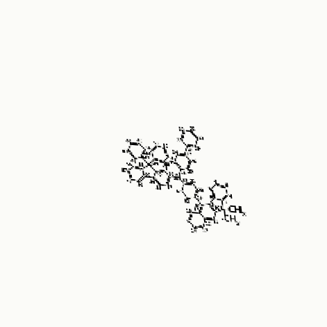 CC1(C)c2ccccc2-c2c1cc1ccccc1c2C1=CC=C(N(c2ccc(-c3ccccc3)cc2)c2ccc3c(c2)C(c2ccccc2)(c2ccccc2)c2ccccc2-3)CC1